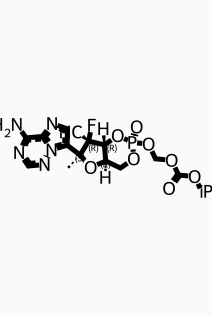 CC(C)OC(=O)OCOP1(=O)OC[C@H]2O[C@@](C)(c3cnc4c(N)ncnn34)[C@@](F)(C#N)[C@@H]2O1